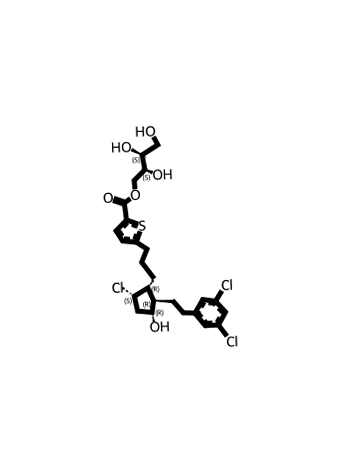 O=C(OC[C@H](O)[C@@H](O)CO)c1ccc(CCC[C@@H]2[C@@H](CCc3cc(Cl)cc(Cl)c3)[C@H](O)C[C@@H]2Cl)s1